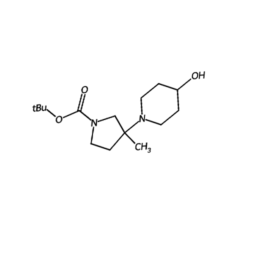 CC(C)(C)OC(=O)N1CCC(C)(N2CCC(O)CC2)C1